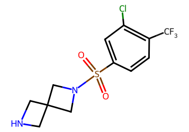 O=S(=O)(c1ccc(C(F)(F)F)c(Cl)c1)N1CC2(CNC2)C1